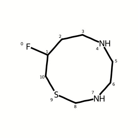 FC1CCNCCNCSC1